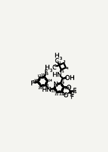 CC1(C)CCC1NC(O)c1nc(Nc2cc(F)cc(F)c2)cc2c1OC(F)(F)O2